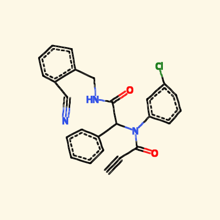 C#CC(=O)N(c1cccc(Cl)c1)C(C(=O)NCc1ccccc1C#N)c1ccccc1